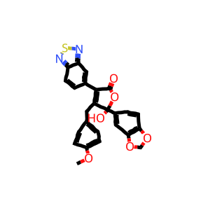 COc1ccc(CC2=C(c3ccc4nsnc4c3)C(=O)OC2(O)c2ccc3c(c2)OCO3)cc1